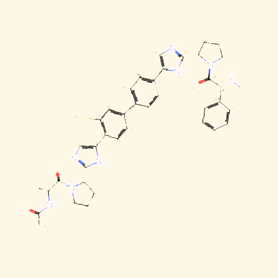 COC(=O)N[C@@H](C)C(=O)N1CCC[C@H]1c1ncc(-c2ccc(-c3ccc(-c4cnc([C@@H]5CCCN5C(=O)[C@H](NC(=O)O)c5ccccc5)[nH]4)cc3)cc2F)[nH]1